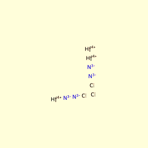 [C].[C].[C].[Hf+4].[Hf+4].[Hf+4].[N-3].[N-3].[N-3].[N-3]